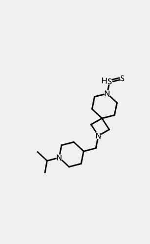 CC(C)N1CCC(CN2CC3(CCN([SH]=S)CC3)C2)CC1